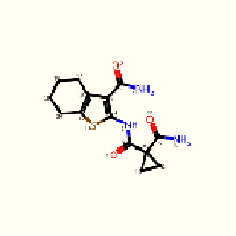 NC(=O)c1c(NC(=O)C2(C(N)=O)CC2)sc2c1CCCC2